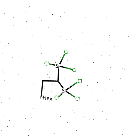 CCCCCCCC([Si](Cl)(Cl)Cl)[Si](Cl)(Cl)Cl